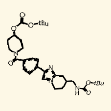 CC(C)(C)OC(=O)NCC1CCn2cc(-c3ccc(C(=O)N4CCC(OC(=O)OC(C)(C)C)CC4)cc3)nc2C1